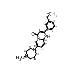 CCc1cccc(C2=CC(=O)N3C=C(N4CCCN(C)CC4)C=CC3P2)c1